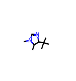 CC1C(C(C)(C)C)N=CN1C